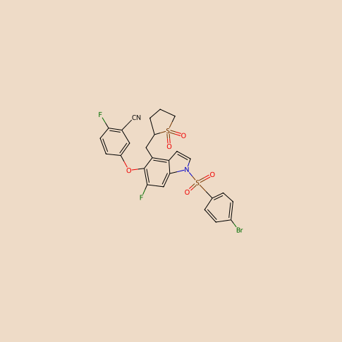 N#Cc1cc(Oc2c(F)cc3c(ccn3S(=O)(=O)c3ccc(Br)cc3)c2CC2CCCS2(=O)=O)ccc1F